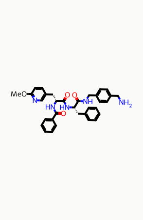 COc1ccc(C[C@@H](NC(=O)c2ccccc2)C(=O)N[C@@H](Cc2ccccc2)C(=O)NCc2ccc(CN)cc2)cn1